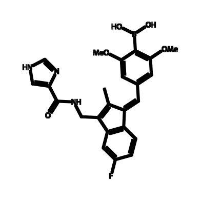 COc1cc(C=C2C(C)=C(CNC(=O)c3c[nH]cn3)c3cc(F)ccc32)cc(OC)c1B(O)O